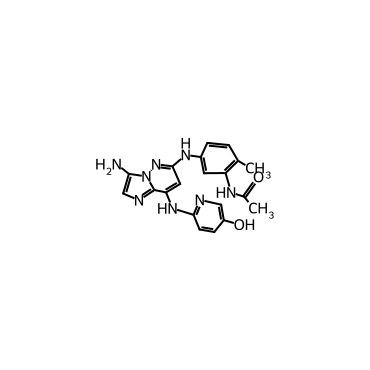 CC(=O)Nc1cc(Nc2cc(Nc3ccc(O)cn3)c3ncc(N)n3n2)ccc1C